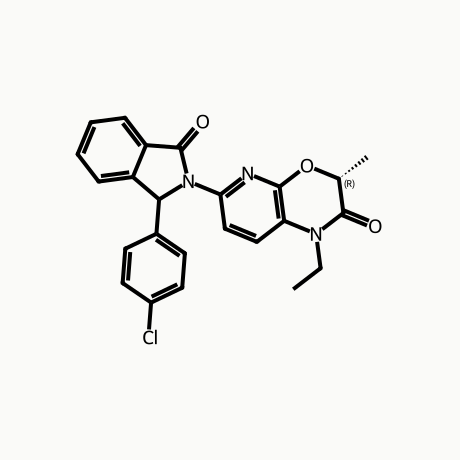 CCN1C(=O)[C@@H](C)Oc2nc(N3C(=O)c4ccccc4C3c3ccc(Cl)cc3)ccc21